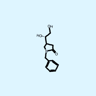 O=C1CC([C@H](O)CO)CN1Cc1ccccc1